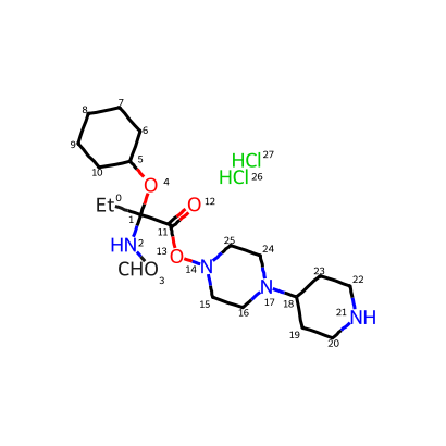 CCC(NC=O)(OC1CCCCC1)C(=O)ON1CCN(C2CCNCC2)CC1.Cl.Cl